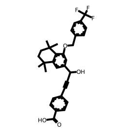 CC1(C)CCC(C)(C)c2c(OCc3ccc(C(F)(F)F)cc3)cc(C(O)C#Cc3ccc(C(=O)O)cc3)cc21